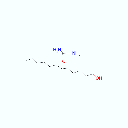 CCCCCCCCCCCCO.NC(N)=O